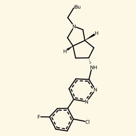 CCC(C)CN1C[C@H]2C[C@@H](Nc3ccc(-c4cc(F)ccc4Cl)nn3)C[C@H]2C1